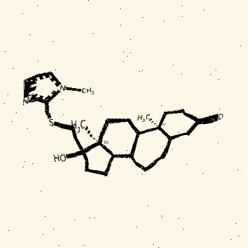 Cn1ccnc1SCC1(O)CCC2C3CCC4CC(=O)CC[C@]4(C)C3CC[C@@]21C